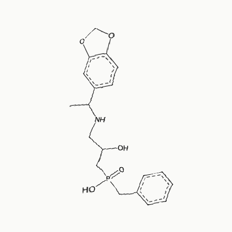 CC(NCC(O)CP(=O)(O)Cc1ccccc1)c1ccc2c(c1)OCO2